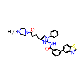 CN1CCN(C(=O)CCCc2cn(-c3ccccc3)c(NC(=O)c3cccc(-c4ccc5scnc5c4)c3)n2)CC1